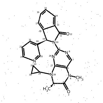 C[C@@H]1C(=O)N(C)c2cnc(N3C(=O)c4ccccc4[C@@H]3c3cccnc3)nc2N1C1CC1